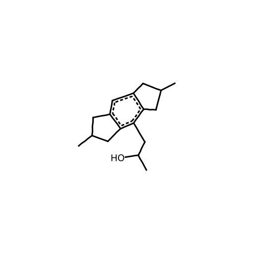 CC(O)Cc1c2c(cc3c1CC(C)C3)CC(C)C2